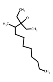 CCCCCCCCC(C)C([O])(CC)CC